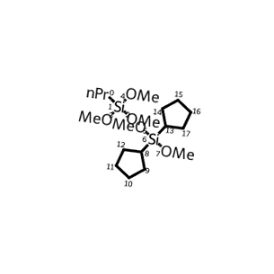 CCC[Si](OC)(OC)OC.CO[Si](OC)(C1CCCC1)C1CCCC1